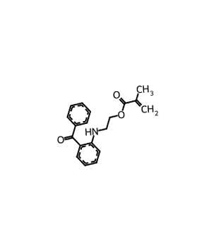 C=C(C)C(=O)OCCNc1ccccc1C(=O)c1ccccc1